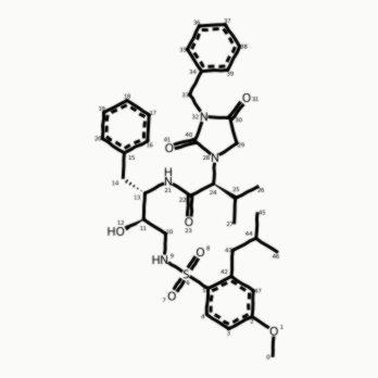 COc1ccc(S(=O)(=O)NC[C@@H](O)[C@H](Cc2ccccc2)NC(=O)[C@H](C(C)C)N2CC(=O)N(Cc3ccccc3)C2=O)c(CC(C)C)c1